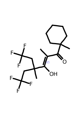 C/C(C(=O)C1(C)CCCCC1)=C(/O)C(C)(CC(F)(F)F)CC(F)(F)F